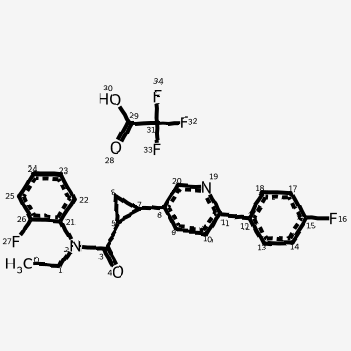 CCN(C(=O)C1CC1c1ccc(-c2ccc(F)cc2)nc1)c1ccccc1F.O=C(O)C(F)(F)F